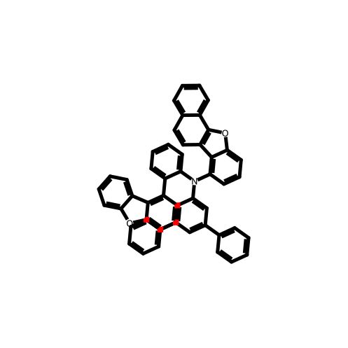 c1ccc(-c2cc(-c3ccccc3)cc(N(c3ccccc3-c3cccc4oc5ccccc5c34)c3cccc4oc5c6ccccc6ccc5c34)c2)cc1